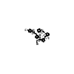 N#CCOc1ccc(CCCS(=O)(=O)c2ccc(Cl)cc2)cc1NC(=O)c1cccc(NC(=O)c2ccccc2OCc2nc3ccccc3s2)c1